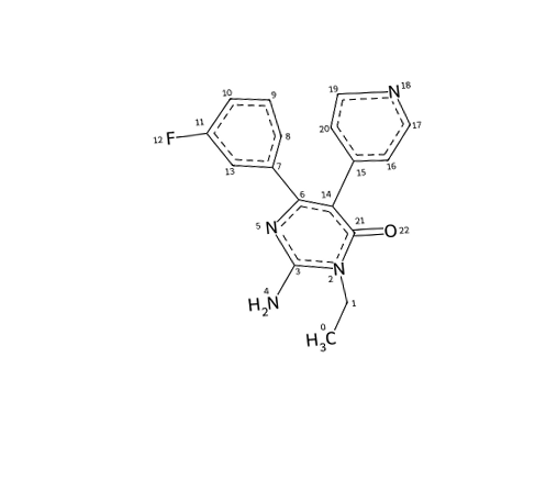 CCn1c(N)nc(-c2cccc(F)c2)c(-c2ccncc2)c1=O